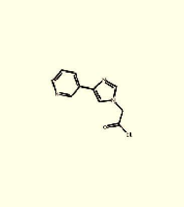 CCC(=O)Cn1cnc(-c2cccnc2)c1